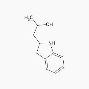 CC(O)CC1Cc2ccccc2N1